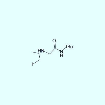 CC(CI)NCC(=O)NC(C)(C)C